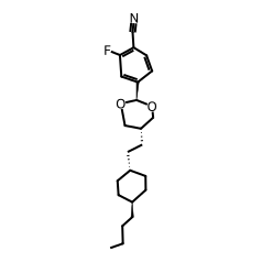 CCCC[C@H]1CC[C@H](CC[C@H]2CO[C@H](c3ccc(C#N)c(F)c3)OC2)CC1